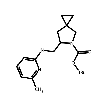 Cc1cccc(NCC2CC3(CC3)CN2C(=O)OC(C)(C)C)n1